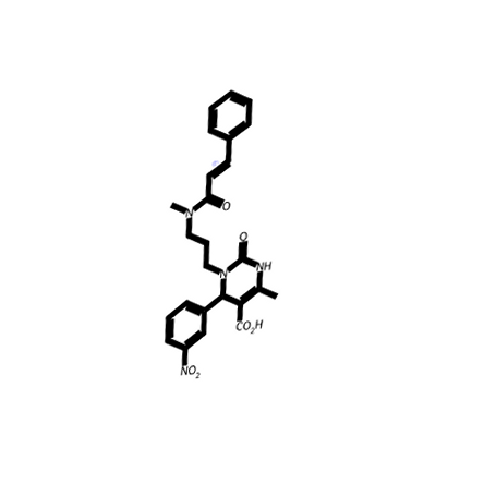 CC1=C(C(=O)O)C(c2cccc([N+](=O)[O-])c2)N(CCCN(C)C(=O)/C=C/c2ccccc2)C(=O)N1